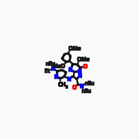 CCCCN(CCCC)C(=O)C1=Nn2c(nc(-c3cc(OC)ccc3OC)c(OC)c2=O)/C1=N\c1ccc(N(CC)CCCC)nc1C